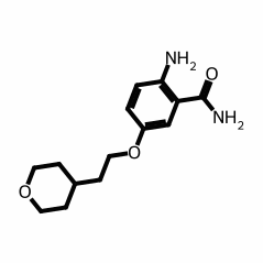 NC(=O)c1cc(OCCC2CCOCC2)ccc1N